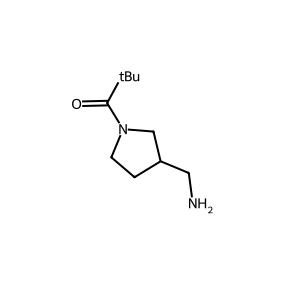 CC(C)(C)C(=O)N1CCC(CN)C1